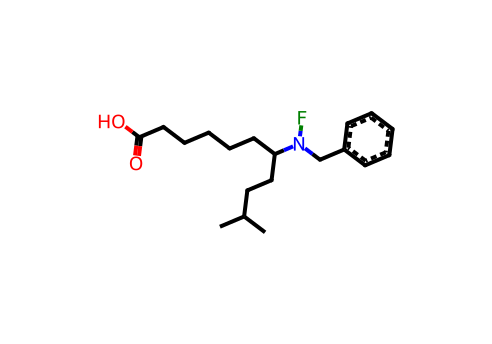 CC(C)CCC(CCCCCC(=O)O)N(F)Cc1ccccc1